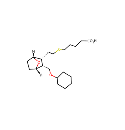 O=C(O)CCCCSCC[C@@H]1[C@H](COC2CCCCC2)[C@@H]2CC[C@H]1O2